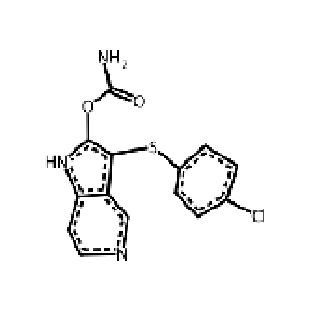 NC(=O)Oc1[nH]c2ccncc2c1Sc1ccc(Cl)cc1